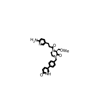 COC[C@H]1C(=O)N(Cc2ccc(-c3ccc(=O)[nH]c3)cc2)CCN1C(=O)CCc1ccc(N)nc1